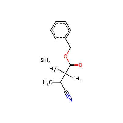 CC(C#N)C(C)(C)C(=O)OCc1ccccc1.[SiH4]